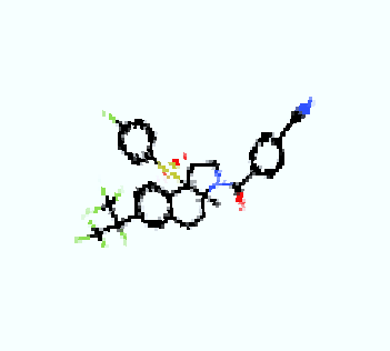 N#Cc1ccc(C(=O)N2CC[C@@]3(S(=O)(=O)c4ccc(F)cc4)c4ccc(C(F)(C(F)(F)F)C(F)(F)F)cc4CC[C@@H]23)cc1